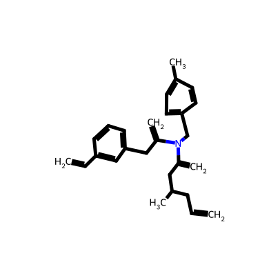 C=CCC(C)CC(=C)N(Cc1ccc(C)cc1)C(=C)Cc1cccc(C=C)c1